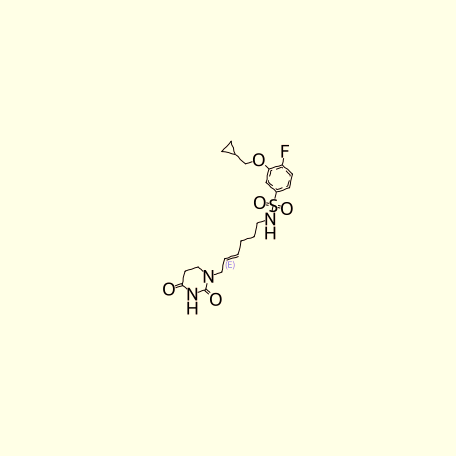 O=C1CCN(C/C=C/CCCNS(=O)(=O)c2ccc(F)c(OCC3CC3)c2)C(=O)N1